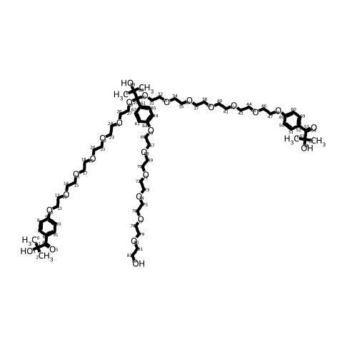 CC(C)(O)C(=O)c1ccc(OCCOCCOCCOCCOCCOCCOC(OCCOCCOCCOCCOCCOCCOc2ccc(C(=O)C(C)(C)O)cc2)(c2ccc(OCCOCCOCCOCCOCCOCCO)cc2)C(C)(C)O)cc1